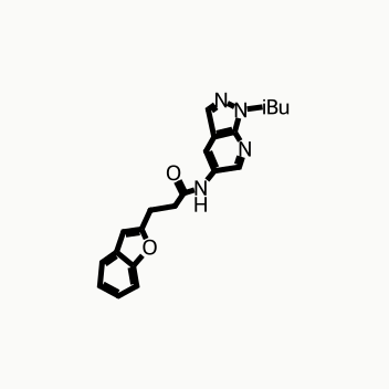 CCC(C)n1ncc2cc(NC(=O)CCc3cc4ccccc4o3)cnc21